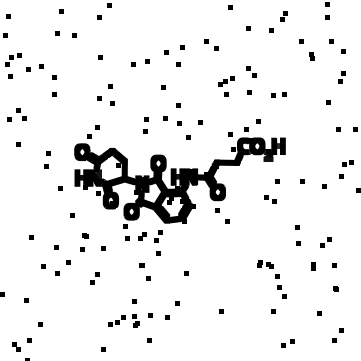 O=C(O)CCC(=O)Nc1cccc2c1C(=O)N(C1CCC(=O)NC1=O)C2=O